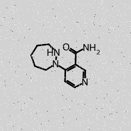 NC(=O)c1cnccc1N1CCCCCN1